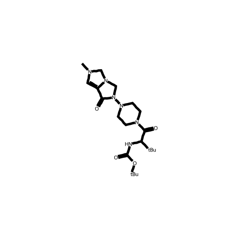 CN1C=C2C(=O)N(N3CCN(C(=O)C(NC(=O)OC(C)(C)C)C(C)(C)C)CC3)CN2C1